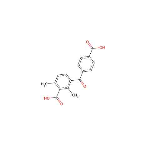 Cc1ccc(C(=O)c2ccc(C(=O)O)cc2)c(C)c1C(=O)O